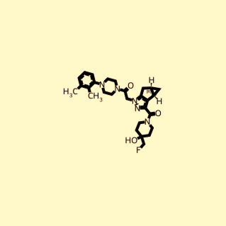 Cc1cccc(N2CCN(C(=O)Cn3nc(C(=O)N4CCC(O)(CF)CC4)c4c3C[C@H]3C[C@@H]43)CC2)c1C